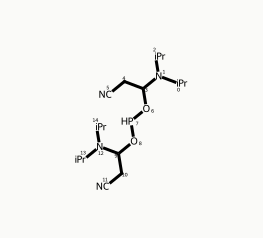 CC(C)N(C(C)C)C(CC#N)OPOC(CC#N)N(C(C)C)C(C)C